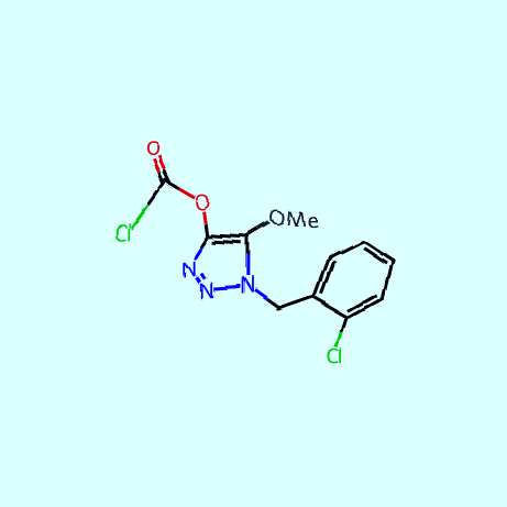 COc1c(OC(=O)Cl)nnn1Cc1ccccc1Cl